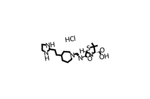 CC1(C)S[C@@H]2[C@H](N=CN3CCCC(CCC4NCCN4)CC3)ON2[C@H]1C(=O)O.Cl